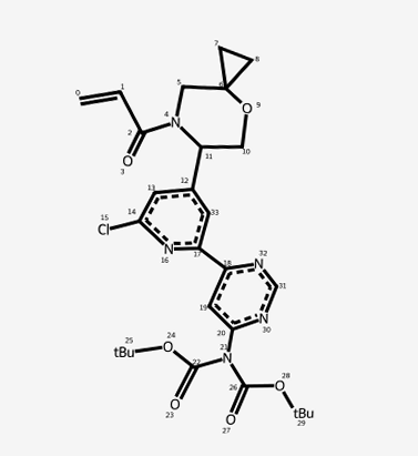 C=CC(=O)N1CC2(CC2)OCC1c1cc(Cl)nc(-c2cc(N(C(=O)OC(C)(C)C)C(=O)OC(C)(C)C)ncn2)c1